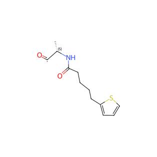 C[C@@H]([C]=O)NC(=O)CCCCc1cccs1